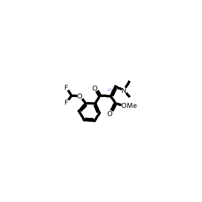 COC(=O)/C(=C\N(C)C)C(=O)c1ccccc1OC(F)F